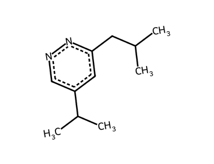 CC(C)Cc1cc(C(C)C)cnn1